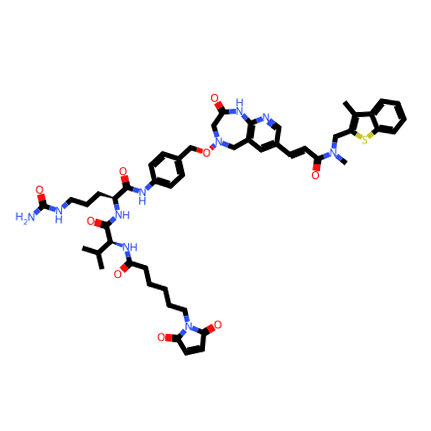 Cc1c(CN(C)C(=O)/C=C/c2cnc3c(c2)CN(OCc2ccc(NC(=O)[C@H](CCCNC(N)=O)NC(=O)[C@@H](NC(=O)CCCCCN4C(=O)C=CC4=O)C(C)C)cc2)CC(=O)N3)sc2ccccc12